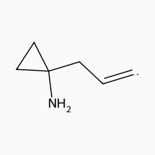 [CH]=CCC1(N)CC1